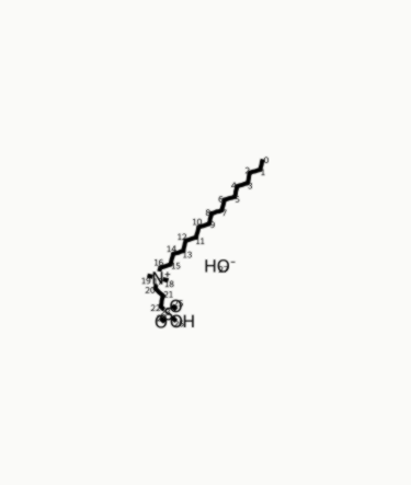 CCCCCCCCCCCCCCCCC[N+](C)(C)CCCS(=O)(=O)O.[OH-]